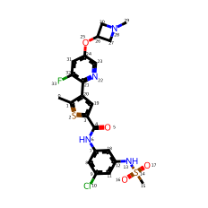 Cc1sc(C(=O)Nc2cc(Cl)cc(NS(C)(=O)=O)c2)cc1-c1ncc(OC2CN(C)C2)cc1F